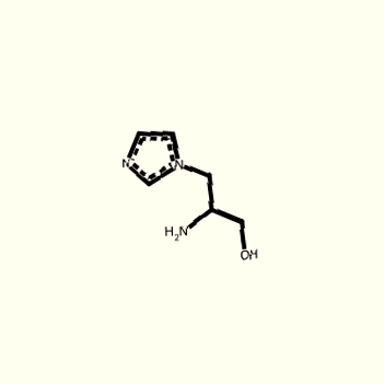 NC(CO)Cn1ccnc1